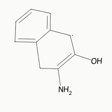 NC1=C(O)[CH]c2ccccc2C1